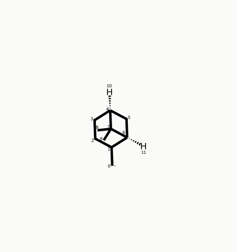 [CH2]C1CC[C@H]2C[C@@H]1C2(C)C